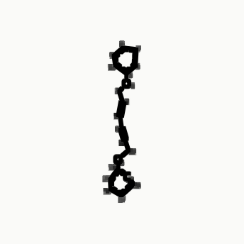 C(C#CCOc1ccccc1)#CCOc1ccccc1